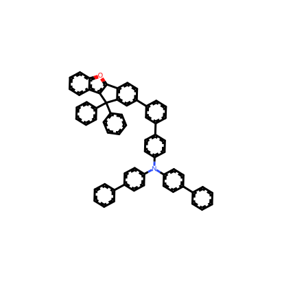 c1ccc(-c2ccc(N(c3ccc(-c4ccccc4)cc3)c3ccc(-c4cccc(-c5ccc6c(c5)C(c5ccccc5)(c5ccccc5)c5c-6oc6ccccc56)c4)cc3)cc2)cc1